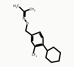 CC(C)=NOCc1ccc(C2CCCCC2)c(C(F)(F)F)c1